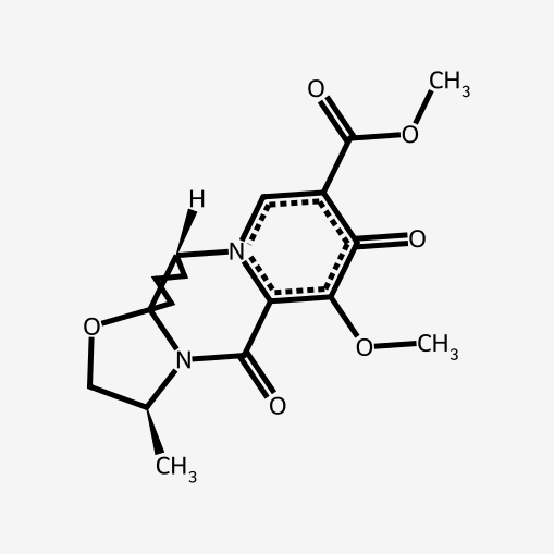 COC(=O)c1cn2c(c(OC)c1=O)C(=O)N1[C@@H](C)COC13CCC[C@@H]23